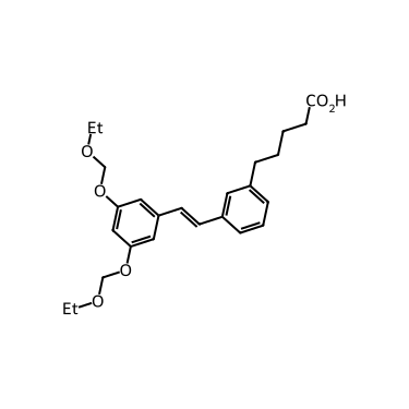 CCOCOc1cc(C=Cc2cccc(CCCCC(=O)O)c2)cc(OCOCC)c1